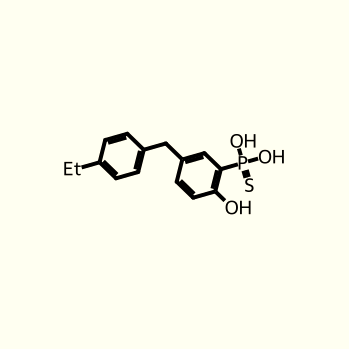 CCc1ccc(Cc2ccc(O)c(P(O)(O)=S)c2)cc1